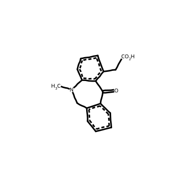 CN1Cc2ccccc2C(=O)c2c(CC(=O)O)cccc21